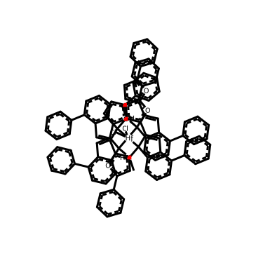 C[SiH]1[C]2(C(c3ccc(-c4ccccc4)o3)=Cc3c(-c4ccccc4)cccc32)[Hf]2([Cl])([Cl])([C]13C(c1ccc(-c4ccccc4)o1)=Cc1c(-c4ccccc4)cccc13)[C]1(C(c3ccc(-c4ccccc4)o3)=Cc3c(-c4ccccc4)cccc31)[SiH](C)[C]21C(c2ccc(-c3ccccc3)o2)=Cc2c(-c3ccccc3)cccc21